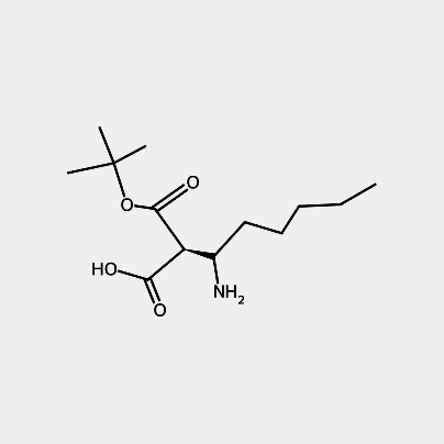 CCCCCC(N)[C@@H](C(=O)O)C(=O)OC(C)(C)C